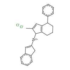 CC1=CC2=C(CCCC2c2ccccc2)[CH]1[Zr+2][C]1=Cc2ccccc2C1.[Cl-].[Cl-]